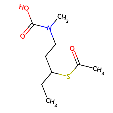 CCC(CCN(C)C(=O)O)SC(C)=O